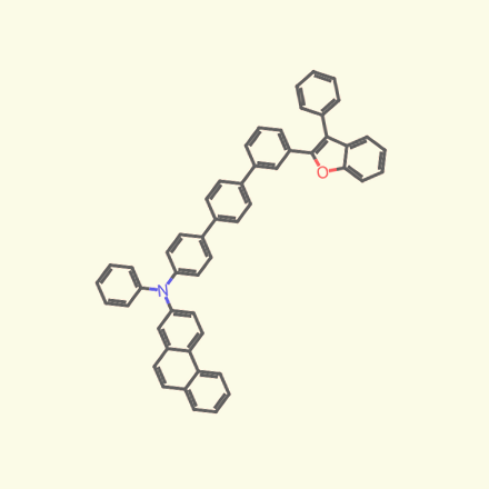 c1ccc(-c2c(-c3cccc(-c4ccc(-c5ccc(N(c6ccccc6)c6ccc7c(ccc8ccccc87)c6)cc5)cc4)c3)oc3ccccc23)cc1